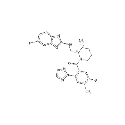 Cc1cc(-n2nccn2)c(C(=O)N2CCC[C@@H](C)[C@H]2CNc2nc3ccc(F)cc3o2)cc1F